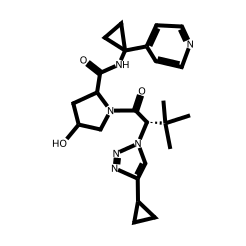 CC(C)(C)[C@@H](C(=O)N1CC(O)CC1C(=O)NC1(c2ccncc2)CC1)n1cc(C2CC2)nn1